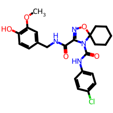 COc1cc(CNC(=O)C2=NOC3(CCCCC3)N2C(=O)Nc2ccc(Cl)cc2)ccc1O